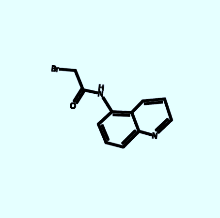 O=C(CBr)Nc1cccc2ncccc12